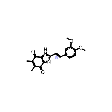 COc1ccc(/C=C/c2nc3c([nH]2)C(=O)C(C)=C(C)C3=O)cc1OC